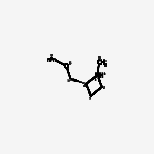 [CH2-][NH+]1CC[C@@H]1COCCC